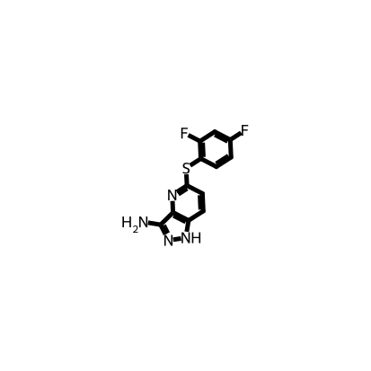 Nc1n[nH]c2ccc(Sc3ccc(F)cc3F)nc12